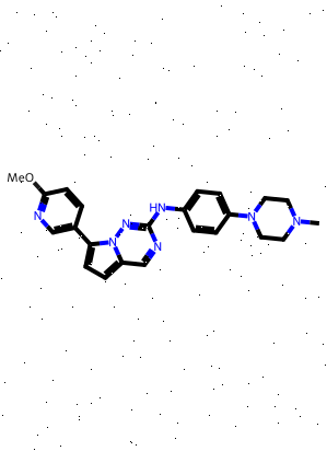 COc1ccc(-c2ccc3cnc(Nc4ccc(N5CCN(C)CC5)cc4)nn23)cn1